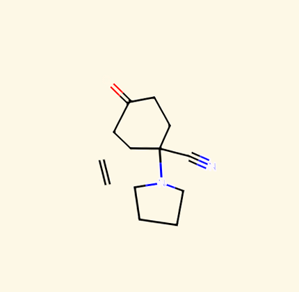 C=C.N#CC1(N2CCCC2)CCC(=O)CC1